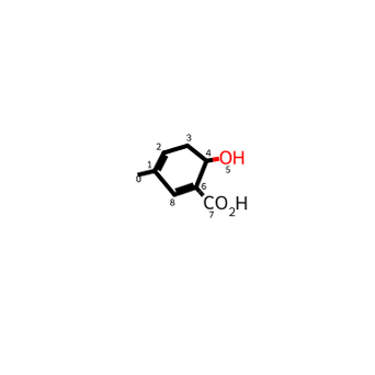 CC1=CCC(O)C(C(=O)O)=C1